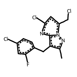 Cc1nn2c(CCl)cc(Cl)nc2c1Cc1ccc(Cl)cc1F